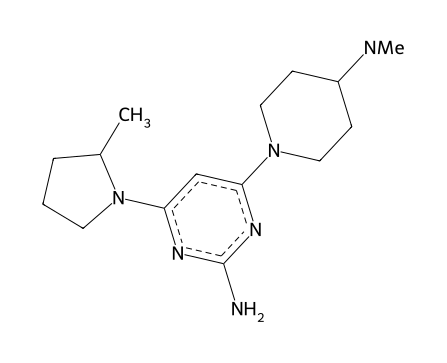 CNC1CCN(c2cc(N3CCCC3C)nc(N)n2)CC1